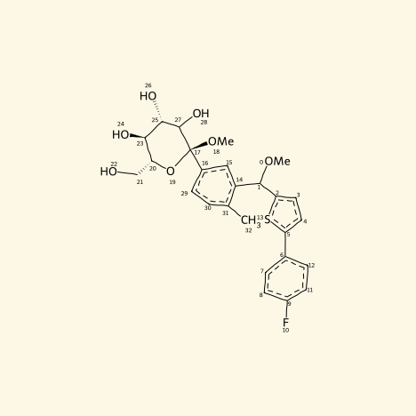 COC(c1ccc(-c2ccc(F)cc2)s1)c1cc([C@]2(OC)O[C@H](CO)[C@@H](O)[C@H](O)C2O)ccc1C